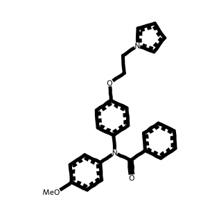 COc1ccc(N(C(=O)c2ccccc2)c2ccc(OCCn3cccc3)cc2)cc1